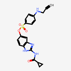 C#CCNc1ccc(S(=O)(=O)Oc2ccc3[nH]c(NC(=O)C4CC4)nc3c2)cc1